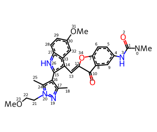 CNC(=O)Nc1ccc2c(c1)C(=O)/C(=C/c1c(-c3c(C)nn(CCOC)c3C)[nH]c3ccc(OC)cc13)O2